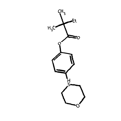 CCC(C)(C)C(=O)Oc1ccc([SH]2CCOCC2)cc1